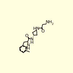 Cc1cccc2c1NC(C(=O)N[C@H]1C[C@H](NC(=O)CCN)C1)C2